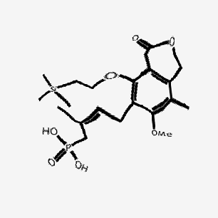 COc1c(C)c2c(c(OCC[Si](C)(C)C)c1CC=C(C)CP(=O)(O)O)C(=O)OC2